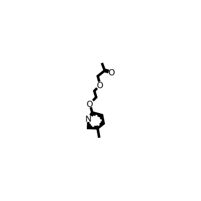 CC(=O)COCCOc1ccc(C)cn1